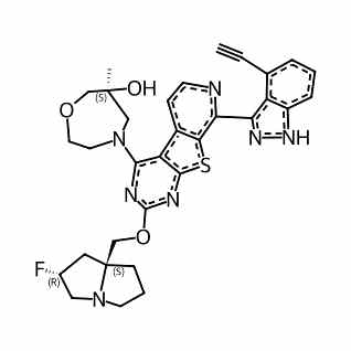 C#Cc1cccc2[nH]nc(-c3nccc4c3sc3nc(OC[C@@]56CCCN5C[C@H](F)C6)nc(N5CCOC[C@@](C)(O)C5)c34)c12